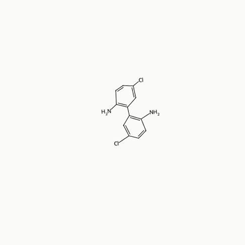 Nc1ccc(Cl)cc1-c1cc(Cl)ccc1N